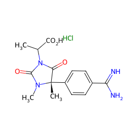 CC(C(=O)O)N1C(=O)N(C)[C@@](C)(c2ccc(C(=N)N)cc2)C1=O.Cl